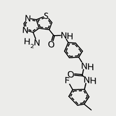 Cc1ccc(F)c(NC(=O)Nc2ccc(NC(=O)c3csc4ncnc(N)c34)cc2)c1